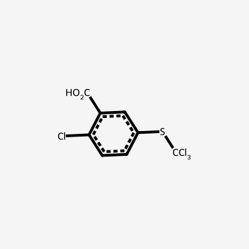 O=C(O)c1cc(SC(Cl)(Cl)Cl)ccc1Cl